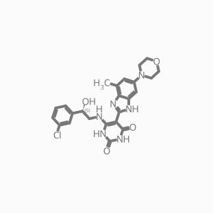 Cc1cc(N2CCOCC2)cc2[nH]c(-c3c(NC[C@@H](O)c4cccc(Cl)c4)[nH]c(=O)[nH]c3=O)nc12